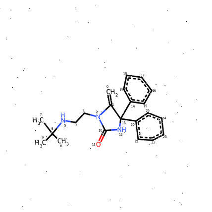 C=C1N(CCNC(C)(C)C)C(=O)NC1(c1ccccc1)c1ccccc1